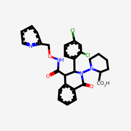 O=C(NOCc1ccccn1)C1c2ccccc2C(=O)N(N2CCCCC2C(=O)O)C1c1ccc(Cl)cc1Cl